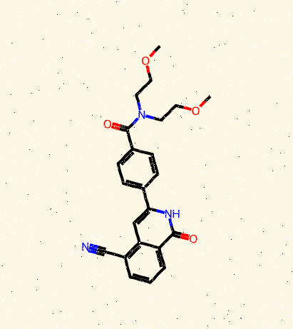 COCCN(CCOC)C(=O)c1ccc(-c2cc3c(C#N)cccc3c(=O)[nH]2)cc1